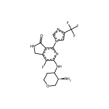 N[C@H]1COCCC1Nc1nc(-n2cnc(C(F)(F)F)c2)c2c(c1F)CNC2=O